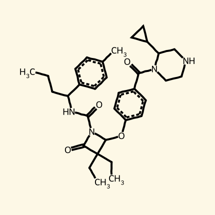 CCCC(NC(=O)N1C(=O)C(CC)(CC)C1Oc1ccc(C(=O)N2CCNCC2C2CC2)cc1)c1ccc(C)cc1